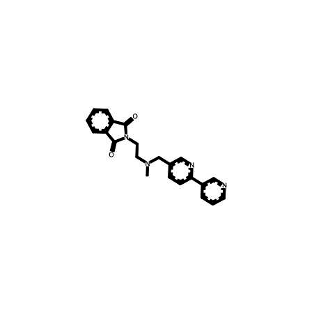 CN(CCN1C(=O)c2ccccc2C1=O)Cc1ccc(-c2cccnc2)nc1